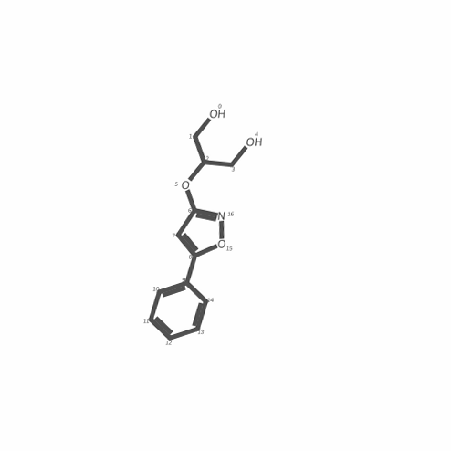 OCC(CO)Oc1cc(-c2ccccc2)on1